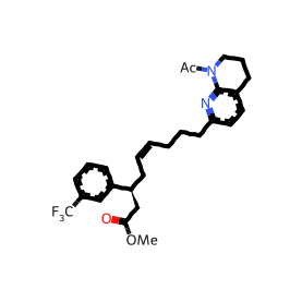 COC(=O)C[C@H](C/C=C\CCCc1ccc2c(n1)N(C(C)=O)CCC2)c1cccc(C(F)(F)F)c1